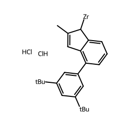 CC1=Cc2c(-c3cc(C(C)(C)C)cc(C(C)(C)C)c3)cccc2[CH]1[Zr].Cl.Cl